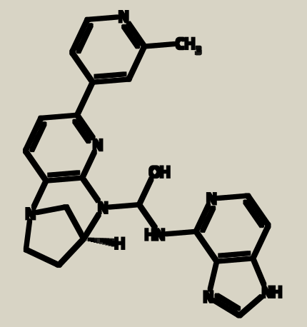 Cc1cc(-c2ccc3c(n2)N(C(O)Nc2nccc4[nH]cnc24)[C@H]2CCN3C2)ccn1